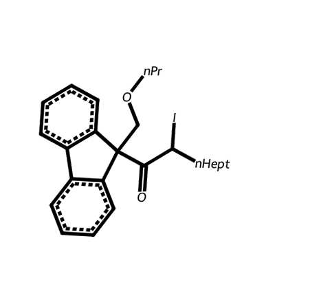 CCCCCCCC(I)C(=O)C1(COCCC)c2ccccc2-c2ccccc21